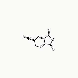 [N-]=[N+]=C1C=C2C(=O)OC(=O)C2=CC1